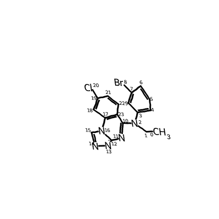 CCN(c1cccc(Br)c1)c1nc2nncn2c2cc(Cl)ccc12